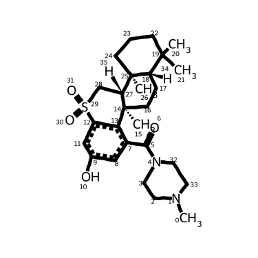 CN1CCN(C(=O)c2cc(O)cc3c2[C@]2(C)CC[C@H]4C(C)(C)CCC[C@]4(C)[C@H]2CS3(=O)=O)CC1